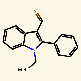 COCn1c(-c2ccccc2)c(C=S)c2ccccc21